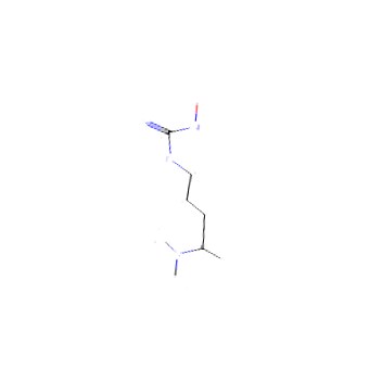 CN(C)C(CCCNC(=N)NO)C(=O)O